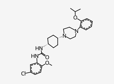 COc1ccc(Cl)cc1NC(=O)N[C@H]1CC[C@@H](N2CCN(c3ccccc3OC(C)C)CC2)CC1